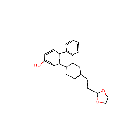 Oc1ccc(-c2ccccc2)c(C2CCC(CCC3OCCO3)CC2)c1